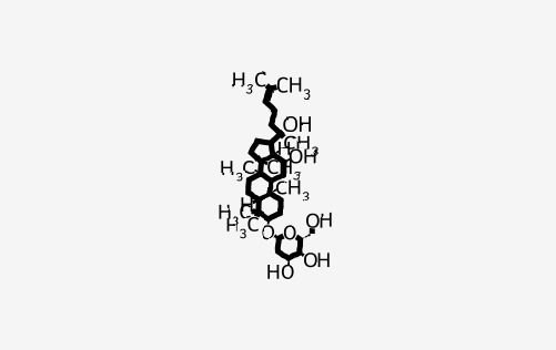 CC(C)=CCCC(C)(O)C1CC[C@]2(C)[C@@H]1[C@H](O)CC1[C@@]3(C)CC[C@H](O[C@@H]4C[C@@H](O)[C@H](O)[C@@H](CO)O4)C(C)(C)[C@@H]3CC[C@]12C